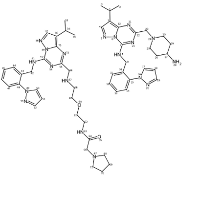 CC(C)c1cnn2c(NCc3ccccc3-n3cccn3)nc(CN3CCC(N)CC3)nc12.CC(C)c1cnn2c(NCc3ccccc3-n3cccn3)nc(CNCCOCCNC(=O)CN3CCCC3)nc12